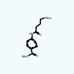 CCCCCCCCCCCCC(=O)Nc1ccc(C(=O)OC)cc1